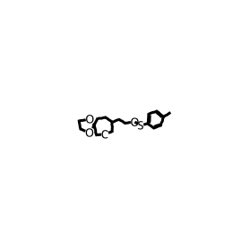 Cc1ccc(SOCCC2CCCC3(CC2)OCCO3)cc1